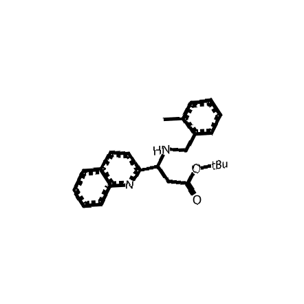 Cc1ccccc1CNC(CC(=O)OC(C)(C)C)c1ccc2ccccc2n1